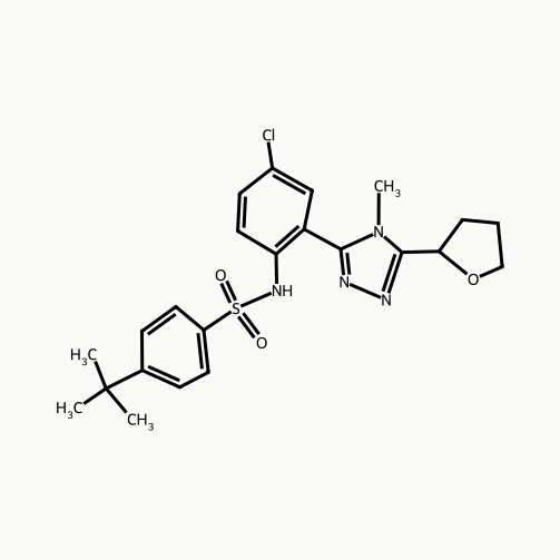 Cn1c(-c2cc(Cl)ccc2NS(=O)(=O)c2ccc(C(C)(C)C)cc2)nnc1C1CCCO1